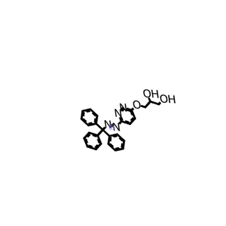 OCC(O)COc1ccc(/N=N/C(c2ccccc2)(c2ccccc2)c2ccccc2)nn1